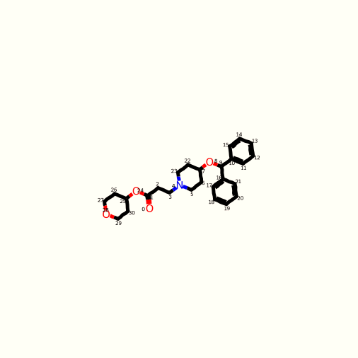 O=C(CCN1CCC(OC(c2ccccc2)c2ccccc2)CC1)OC1CCOCC1